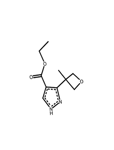 CCOC(=O)c1c[nH]nc1C1(C)COC1